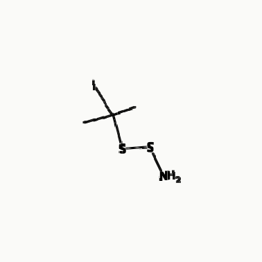 CC(C)(I)SSN